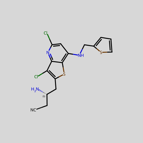 N#CC[C@H](N)Cc1sc2c(NCc3cccs3)cc(Cl)nc2c1Cl